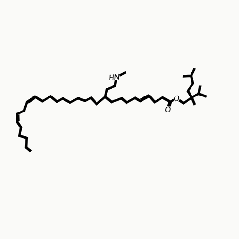 CCCCC/C=C\C/C=C\CCCCCCCCCC(CCCC/C=C/CCC(=O)OCC(C)(CCC(C)C)C(C)C)CCNC